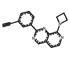 C#Cc1cccc(-c2ncc3ccnc(N4CCC4)c3n2)c1